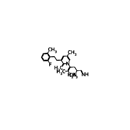 C=C1C(CCc2c(C)cccc2F)=CC(C)=CN1C(CC(N)C=N)=C(C)C